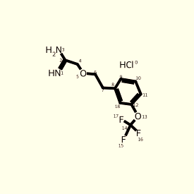 Cl.N=C(N)COCCc1cccc(OC(F)(F)F)c1